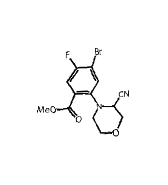 COC(=O)c1cc(F)c(Br)cc1N1CCOCC1C#N